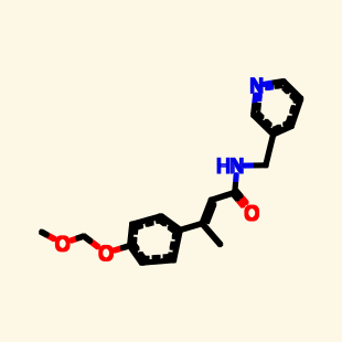 COCOc1ccc(C(C)=CC(=O)NCc2cccnc2)cc1